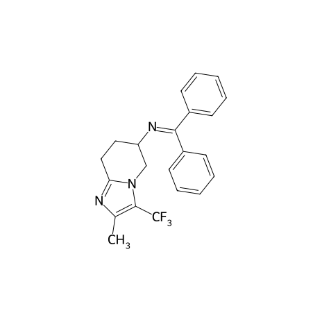 Cc1nc2n(c1C(F)(F)F)CC(N=C(c1ccccc1)c1ccccc1)CC2